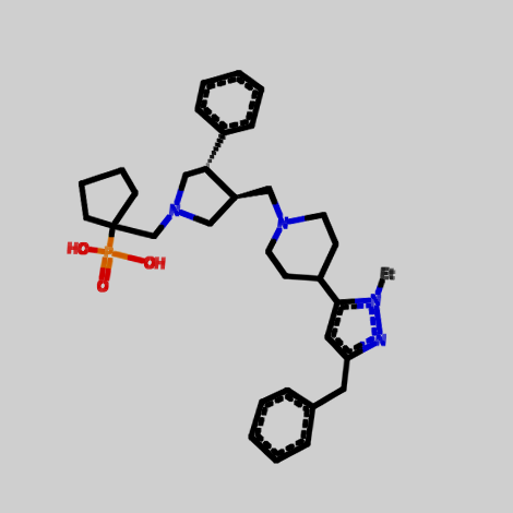 CCn1nc(Cc2ccccc2)cc1C1CCN(C[C@H]2CN(CC3(P(=O)(O)O)CCCC3)C[C@@H]2c2ccccc2)CC1